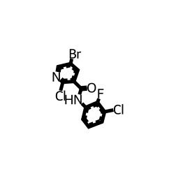 O=C(Nc1cccc(Cl)c1F)c1cc(Br)cnc1Cl